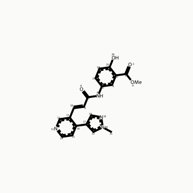 COC(=O)c1cc(NC(=O)/C=C/c2cnccc2-c2cnn(C)c2)ccc1O